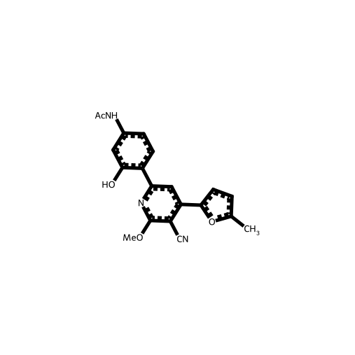 COc1nc(-c2ccc(NC(C)=O)cc2O)cc(-c2ccc(C)o2)c1C#N